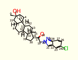 C[C@@]1(O)CC[C@@]2(C)[C@@H](CC[C@@H]3[C@@H]2CC[C@]2(C)[C@@H](C(=O)Cn4cc5cc(Cl)ccc5n4)CC[C@@H]32)C1